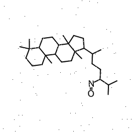 CC(C)C(CCC(C)C1CCC2(C)C3CCC4C(C)(C)CCCC4(C)C3CCC12C)N=O